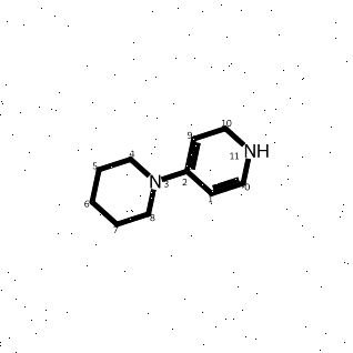 [C]1=CC(N2CCCCC2)=CCN1